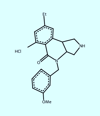 CCc1cc(C)c2c(c1)C1CNCC1N(Cc1cccc(OC)c1)C2=O.Cl